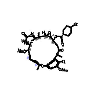 CC[C@H]1CC[C@H](C(=O)O[C@H]2CC(=O)N(C)c3cc(cc(OC)c3Cl)C/C(C)=C/C=C/[C@@H](OC)[C@@]3(O)C[C@H](OC(=O)N3)[C@@H](C)[C@@H]3O[C@@]23C)CC1